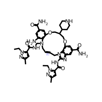 CCn1nc(C)cc1C(=O)NCN1C/C=C/Cn2c(NC(=O)c3cc(C)nn3CC)nc3cc(C(N)=O)cc(c32)OCC(C2CCNCC2)COc2cc(C(N)=O)cc(N)c21